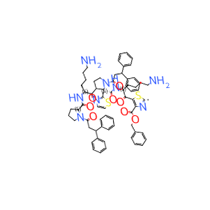 NCCCC[C@H](NC(=O)[C@]1(c2nccs2)C(C(=O)[C@H](CCCCN)NC(=O)[C@@H]2CCCN2C(=O)CC(c2ccccc2)c2ccccc2)CCN1C(=O)CC(c1ccccc1)c1ccccc1)C(=O)c1s[c]nc1C(=O)OCc1ccccc1